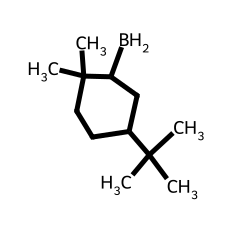 BC1CC(C(C)(C)C)CCC1(C)C